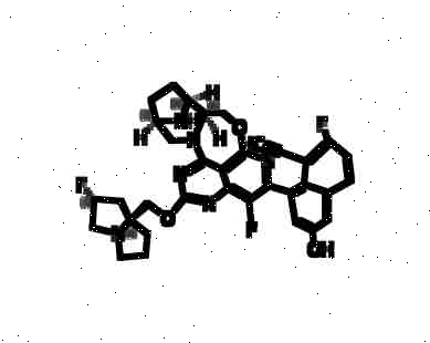 C#Cc1c(F)ccc2cc(O)cc(-c3nc4c5c(nc(OC[C@@]67CCCN6C[C@H](F)C7)nc5c3F)N3C[C@H]5CC[C@H](N5)[C@H]3CO4)c12